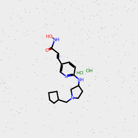 Cl.Cl.O=C(/C=C/c1ccc(NC2CCN(CC3CCCC3)C2)nc1)NO